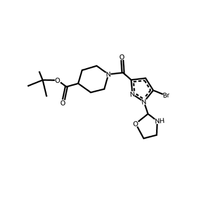 CC(C)(C)OC(=O)C1CCN(C(=O)c2cc(Br)n(C3NCCO3)n2)CC1